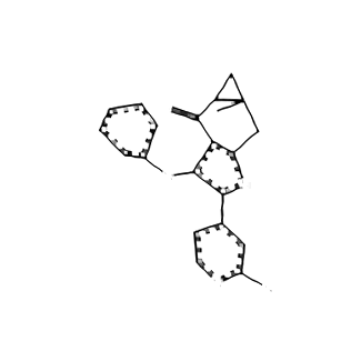 CC12Cc3[nH]c(-c4ccnc(N)c4)c(Nc4ccccc4)c3C(=O)C1C2